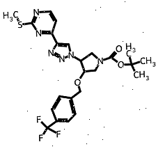 CSc1nccc(-c2cn(C3CN(C(=O)OC(C)(C)C)CC3OCc3ccc(C(F)(F)F)cc3)nn2)n1